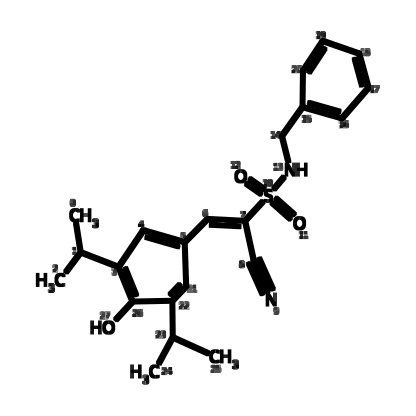 CC(C)c1cc(/C=C(\C#N)S(=O)(=O)NCc2ccccc2)cc(C(C)C)c1O